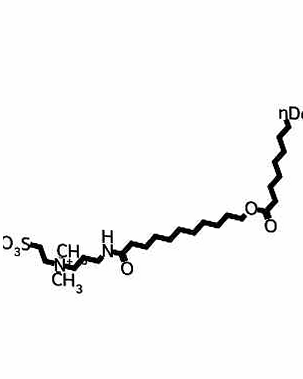 CCCCCCCCCCCCCCCCCC(=O)OCCCCCCCCCCC(=O)NCCC[N+](C)(C)CCS(=O)(=O)O